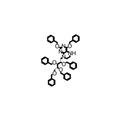 c1ccc(COC[C@@H](OCc2ccccc2)[C@@H](OCc2ccccc2)[C@H](CN2CCNc3c(OCc4ccccc4)nc(OCc4ccccc4)nc32)OCc2ccccc2)cc1